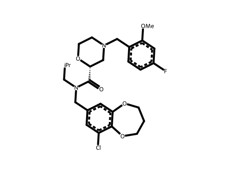 COc1cc(F)ccc1CN1CCO[C@@H](C(=O)N(Cc2cc(Cl)c3c(c2)OCCCO3)CC(C)C)C1